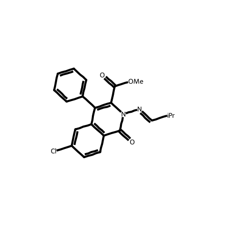 COC(=O)c1c(-c2ccccc2)c2cc(Cl)ccc2c(=O)n1N=CC(C)C